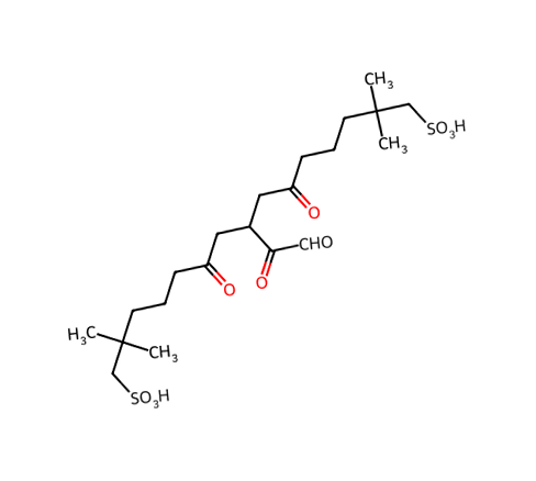 CC(C)(CCCC(=O)CC(CC(=O)CCCC(C)(C)CS(=O)(=O)O)C(=O)C=O)CS(=O)(=O)O